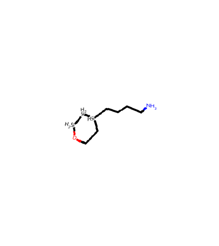 NCCCC[SiH]1CCO[SiH2][SiH2]1